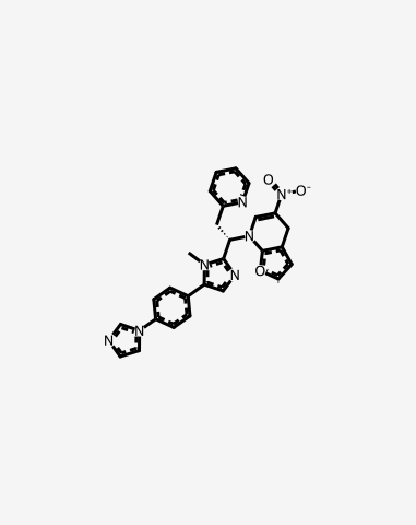 Cn1c(-c2ccc(-n3ccnc3)cc2)cnc1[C@H](Cc1ccccn1)N1C=C([N+](=O)[O-])Cc2c[c]oc21